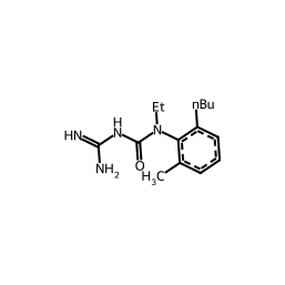 CCCCc1cccc(C)c1N(CC)C(=O)NC(=N)N